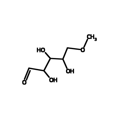 COCC(O)C(O)C(O)C=O